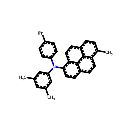 Cc1cc(C)cc(N(c2ccc(C(C)C)cc2)c2ccc3ccc4c(C)ccc5ccc2c3c54)c1